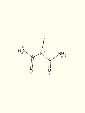 NC(=O)N(I)C(N)=O